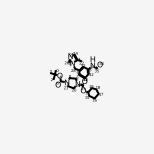 CC(C)(C)OC(=O)N1CCN(C(=O)OC2CCCCC2)CC1.Cc1cncn1Cc1cccc(NC=O)c1